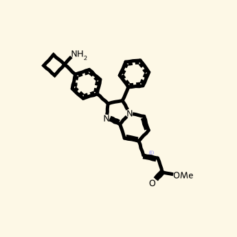 COC(=O)/C=C/C1=CC2=NC(c3ccc(C4(N)CCC4)cc3)C(c3ccccc3)N2C=C1